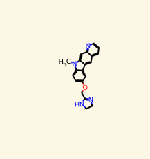 Cn1c2ccc(OCC3=NCCN3)cc2c2cc3cccnc3cc21